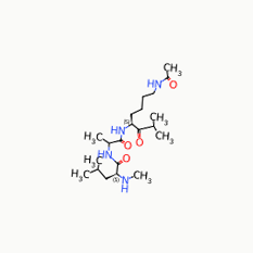 CN[C@@H](CC(C)C)C(=O)NC(C)C(=O)N[C@@H](CCCCNC(C)=O)C(=O)C(C)C